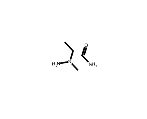 CCN(C)N.NC=O